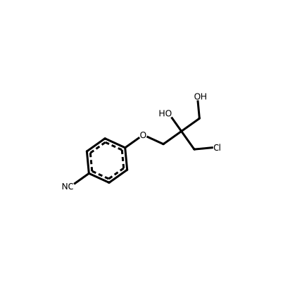 N#Cc1ccc(OCC(O)(CO)CCl)cc1